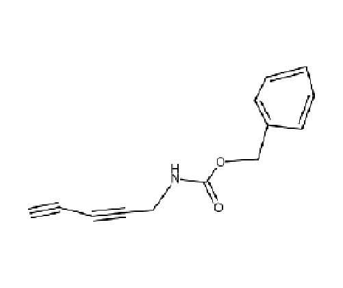 C#CC#CCNC(=O)OCc1ccccc1